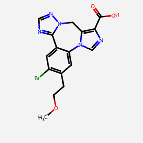 COCCc1cc2c(cc1Br)-c1ncnn1Cc1c(C(=O)O)ncn1-2